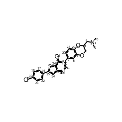 CN(C)CC1COc2cc(-n3cnc4cc(-c5ccc(Cl)cc5)sc4c3=O)ccc2O1